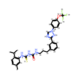 Cc1ccc(C(C)C)c(NC(=S)NC(=O)NCCCc2cccc(-c3ncn(-c4ccc(OC(F)(F)F)cc4)n3)c2)c1